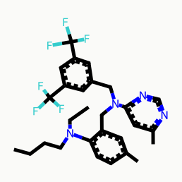 CCCCN(CC)c1ccc(C)cc1CN(Cc1cc(C(F)(F)F)cc(C(F)(F)F)c1)c1cc(C)ncn1